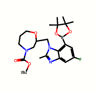 Cc1nc2cc(F)cc(B3OC(C)(C)C(C)(C)O3)c2n1CC1CN(C(=O)OC(C)(C)C)CCCO1